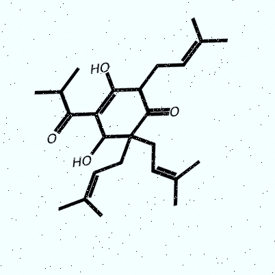 CC(C)=CCC1C(=O)C(CC=C(C)C)(CC=C(C)C)C(O)C(C(=O)C(C)C)=C1O